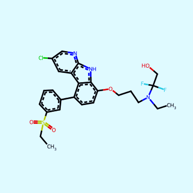 CCN(CCCOc1ccc(-c2cccc(S(=O)(=O)CC)c2)c2c1[nH]c1ncc(Cl)cc12)C(F)(F)CO